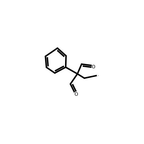 [CH2]CC(C=O)(C=O)c1ccccc1